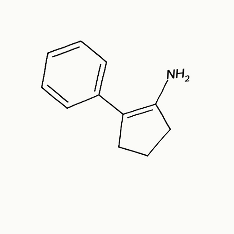 NC1=C(c2ccccc2)CCC1